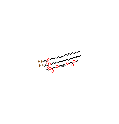 CCCCCCCCCCCCCCCCCCOC(=O)CCS.CCCCCCCCCCCCCCCCCCOC(=O)CCS.CCOC(=O)CCOC[CH2][Sn][CH2]COCCC(=O)OCC